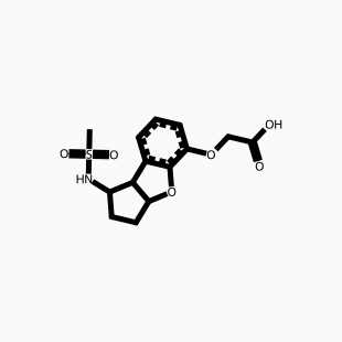 CS(=O)(=O)NC1CCC2Oc3c(OCC(=O)O)cccc3C12